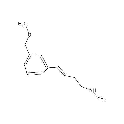 CNCC/C=C/c1cncc(COC)c1